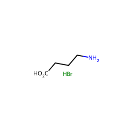 Br.NCCCC(=O)O